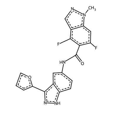 Cn1ncc2c(F)c(C(=O)Nc3ccc4[nH]nc(-c5ccco5)c4c3)c(F)cc21